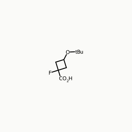 CC(C)(C)OC1CC(F)(C(=O)O)C1